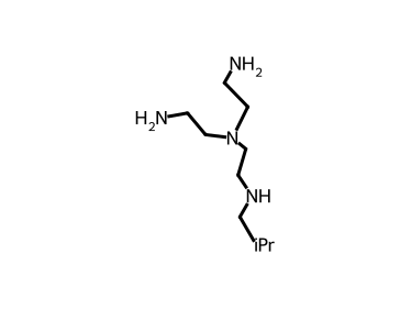 CC(C)CNCCN(CCN)CCN